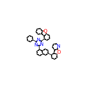 c1ccc(-c2nc(-c3cccc4cc(-c5cccc6oc7ncccc7c56)ccc34)nc(-c3cccc4oc5ccccc5c34)n2)cc1